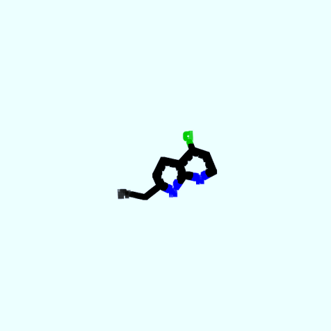 CC(C)Cc1ccc2c(Cl)ccnc2n1